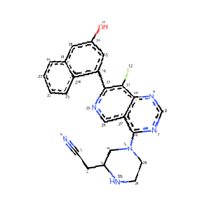 N#CCC1CN(c2ncnc3c(F)c(-c4cc(O)cc5ccccc45)ncc23)CCN1